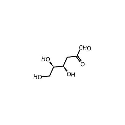 O=CC(=O)C[C@@H](O)[C@H](O)CO